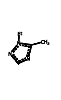 CCn1n[c]nc1C